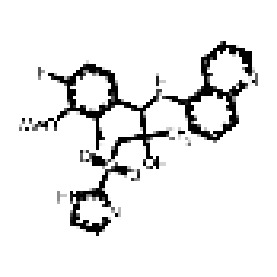 COc1c(F)ccc(C(Nc2cccc3ncccc23)C(O)(CS(=O)(=O)c2ncc[nH]2)C(F)(F)F)c1F